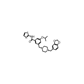 CC(C)Oc1cc(CN2CCN(Cc3ccc4c(c3)OCO4)CC2)cc(C(=O)Nc2nccs2)c1